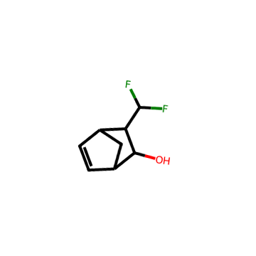 OC1C2C=CC(C2)C1C(F)F